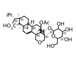 CC(=O)O[C@@H]1C[C@@]23COC[C@@](C)([C@@H]2CC[C@H]2C3=CC[C@@]3(C)[C@H](C(=O)O)[C@@](C)([C@H](C)C(C)C)CC[C@]23C)[C@H]1O[C@@H]1OC(CO)[C@@H](O)[C@H](O)C1O